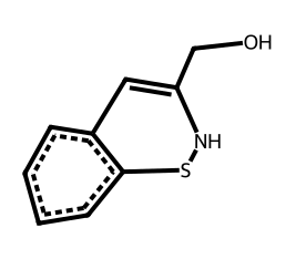 OCC1=Cc2ccccc2SN1